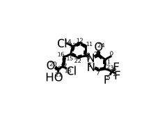 Cc1c(C(F)(F)F)cnn(-c2ccc(Cl)c(C=C(Cl)C(=O)O)c2)c1=O